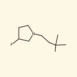 CC(C)(C)CCN1CCC(F)C1